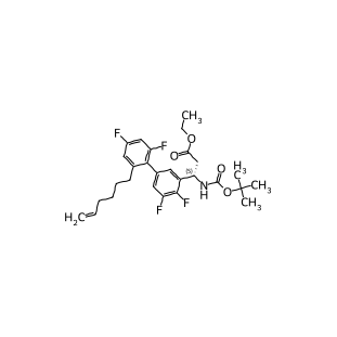 C=CCCCCc1cc(F)cc(F)c1-c1cc(F)c(F)c([C@H](CC(=O)OCC)NC(=O)OC(C)(C)C)c1